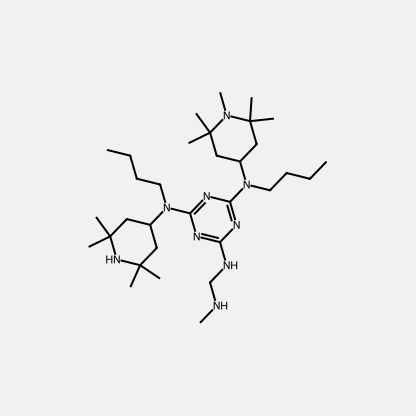 CCCCN(c1nc(NCNC)nc(N(CCCC)C2CC(C)(C)N(C)C(C)(C)C2)n1)C1CC(C)(C)NC(C)(C)C1